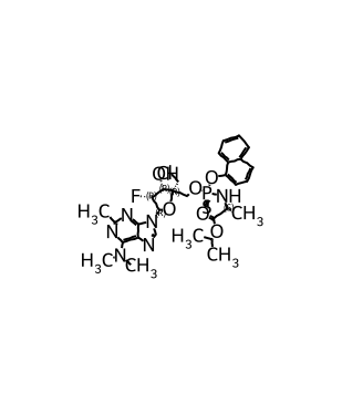 Cc1nc(N(C)C)c2ncn([C@@H]3O[C@](CCl)(COP(=S)(N[C@@H](C)C(=O)OC(C)C)Oc4cccc5ccccc45)[C@@H](O)[C@H]3F)c2n1